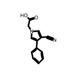 N#Cc1cn(CC(=O)O)cc1-c1ccccc1